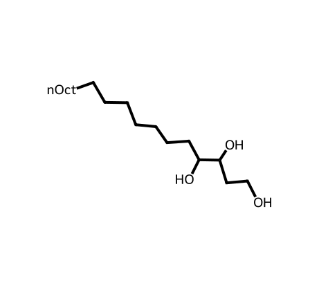 CCCCCCCCCCCCCCCC(O)C(O)CCO